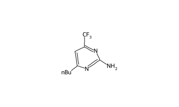 CCCCc1cc(C(F)(F)F)nc(N)n1